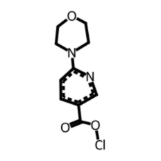 O=C(OCl)c1ccc(N2CCOCC2)nc1